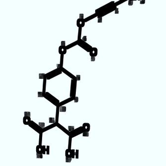 CC#COC(=O)Oc1ccc(C(C(=O)O)C(=O)O)cc1